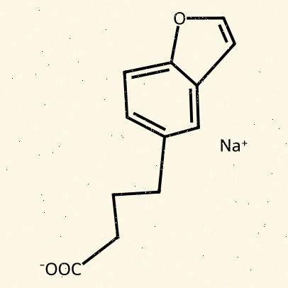 O=C([O-])CCCc1ccc2occc2c1.[Na+]